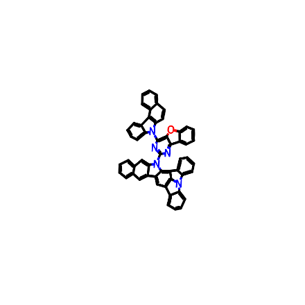 c1ccc2cc3c(cc2c1)c1cc2c4ccccc4n4c5ccccc5c(c1n3-c1nc(-n3c5ccccc5c5c6ccccc6ccc53)c3oc5ccccc5c3n1)c24